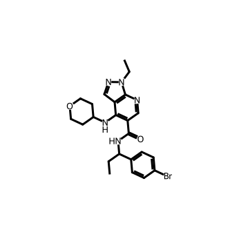 CCC(NC(=O)c1cnc2c(cnn2CC)c1NC1CCOCC1)c1ccc(Br)cc1